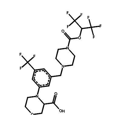 O=C(O)C1COCCN1c1cc(CN2CCN(C(=O)OC(C(F)(F)F)C(F)(F)F)CC2)cc(C(F)(F)F)c1